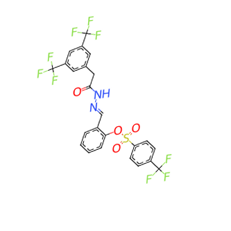 O=C(Cc1cc(C(F)(F)F)cc(C(F)(F)F)c1)NN=Cc1ccccc1OS(=O)(=O)c1ccc(C(F)(F)F)cc1